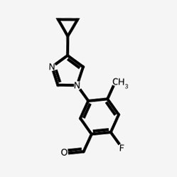 Cc1cc(F)c(C=O)cc1-n1cnc(C2CC2)c1